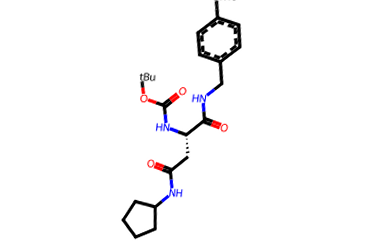 COc1ccc(CNC(=O)[C@H](CC(=O)NC2CCCC2)NC(=O)OC(C)(C)C)cc1